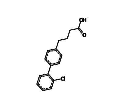 O=C(O)CCCc1ccc(-c2ccccc2Cl)cc1